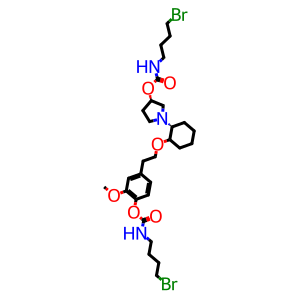 COc1cc(CCOC2CCCC[C@H]2N2CC[C@@H](OC(=O)NCCCCBr)C2)ccc1OC(=O)NCCCCBr